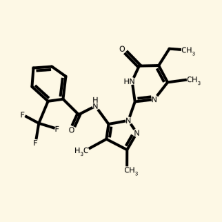 CCc1c(C)nc(-n2nc(C)c(C)c2NC(=O)c2ccccc2C(F)(F)F)[nH]c1=O